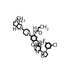 C=CC(=O)Nc1cc(Nc2cc(N3OCC[C@@H]3c3cc(F)cc(Cl)c3)ncn2)c(OC)cc1N1CCC(N2C[C@@H]3CCN(C)[C@@H]3C2)CC1